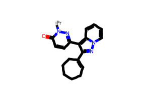 CC(C)n1nc(-c2c(C3=CCCCCC3)nn3ccccc23)ccc1=O